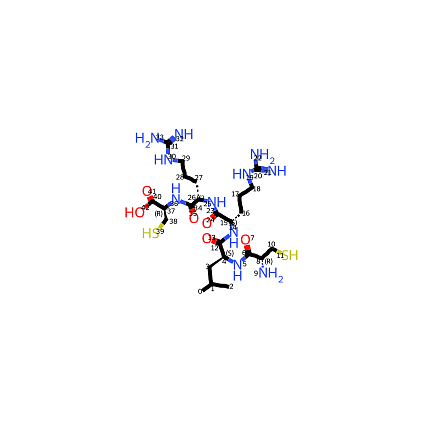 CC(C)C[C@H](NC(=O)[C@@H](N)CS)C(=O)N[C@@H](CCCNC(=N)N)C(=O)N[C@@H](CCCNC(=N)N)C(=O)N[C@@H](CS)C(=O)O